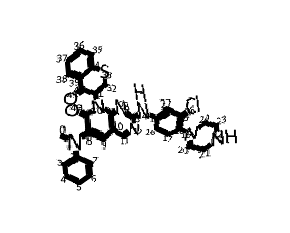 CN(c1ccccc1)c1cc2cnc(Nc3ccc(N4CCNCC4)c(Cl)c3)nc2n(C2CSc3ccccc3C2=O)c1=O